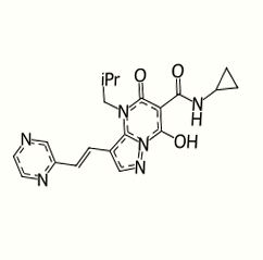 CC(C)Cn1c(=O)c(C(=O)NC2CC2)c(O)n2ncc(C=Cc3cnccn3)c12